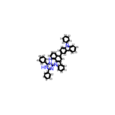 c1ccc(C2N=C(n3c4ccccc4c4cc(-c5ccc6c(c5)c5ccccc5n6-c5ccccc5)c5ccccc5c43)NC(c3ccccc3)N2)cc1